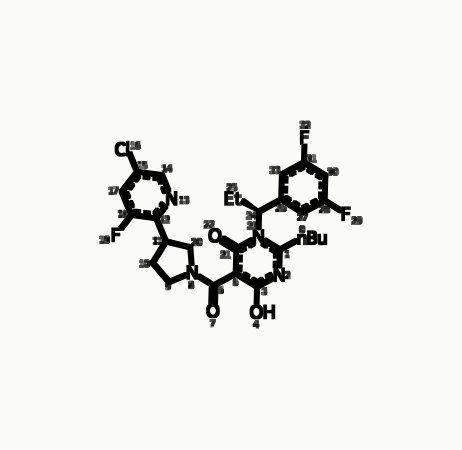 CCCCc1nc(O)c(C(=O)N2CCC(c3ncc(Cl)cc3F)C2)c(=O)n1[C@@H](CC)c1cc(F)cc(F)c1